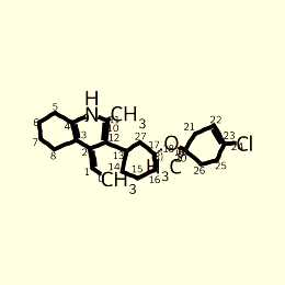 CC=C1C2=C(CCCC2)NC(C)=C1C1CCC[C@@H](O[C@@]2(C)CC=C(Cl)CC2)C1